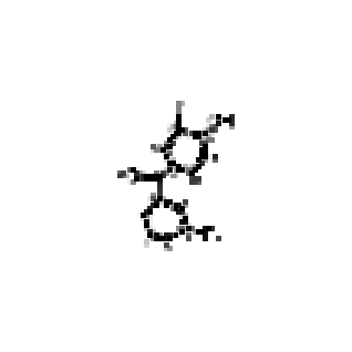 O=C(c1cccc(F)c1)c1ccc(O)c(I)c1